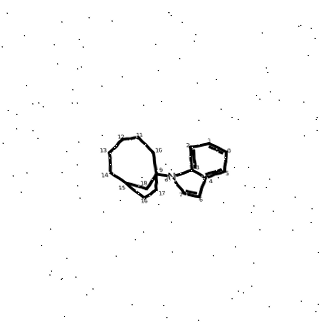 c1ccc2c(c1)ccn2C12CCCCCC(CC1)C2